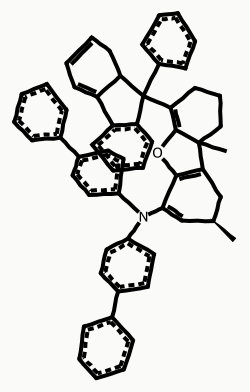 C[C@H]1C=C(N(c2ccc(-c3ccccc3)cc2)c2ccc(-c3ccccc3)cc2)C2=C(C1)C1(C)CCCC(C3(c4ccccc4)c4ccccc4C4=CC=CCC43)=C1O2